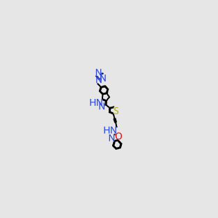 C(#Cc1cc(-c2n[nH]c3c2Cc2ccc(Cn4cncn4)cc2-3)cs1)CNc1nc2ccccc2o1